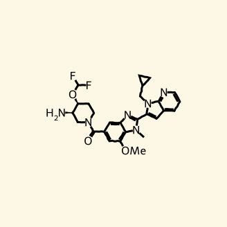 COc1cc(C(=O)N2CC[C@H](OC(F)F)[C@H](N)C2)cc2nc(-c3cc4cccnc4n3CC3CC3)n(C)c12